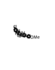 COc1ccc(N2CCN(C(=O)Nc3nc4cc(Cl)ccc4nc3OC)CC2)cc1